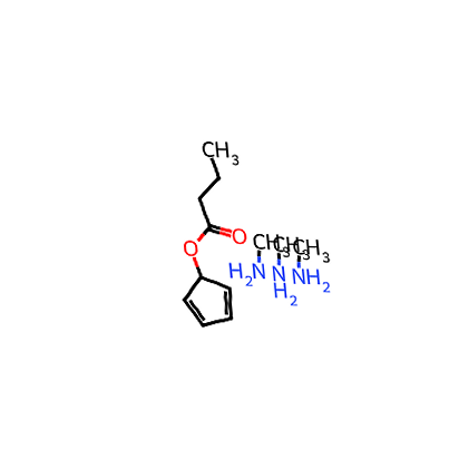 CCCC(=O)OC1C=CC=C1.CN.CN.CN